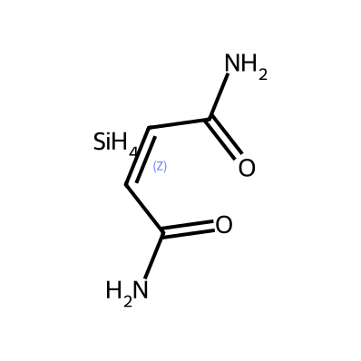 NC(=O)/C=C\C(N)=O.[SiH4]